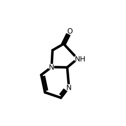 O=C1CN2C=CC=NC2N1